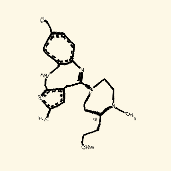 COCC[C@H]1CN(C2=Nc3ccc(Cl)cc3Nc3sc(C)cc32)CCN1C